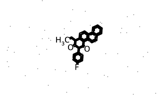 CCC1C(=O)C(c2ccc(F)cc2)C(=O)c2c1ccc1c2ccc2ccccc21